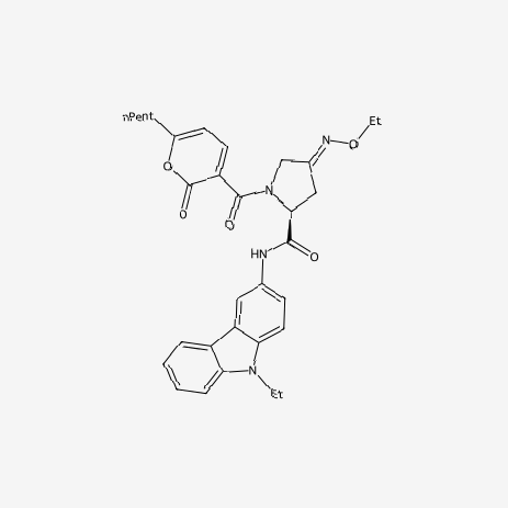 CCCCCc1ccc(C(=O)N2CC(=NOCC)C[C@H]2C(=O)Nc2ccc3c(c2)c2ccccc2n3CC)c(=O)o1